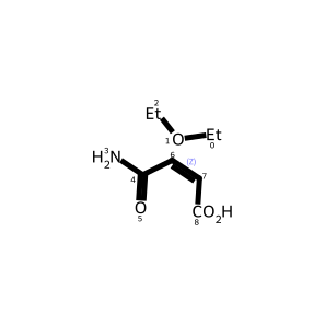 CCOCC.NC(=O)/C=C\C(=O)O